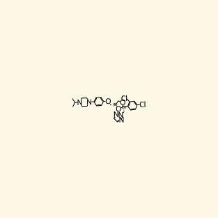 CC(C)N1CCN(c2ccc(OC[C@@H]3CO[C@@](Cn4nccn4)(c4ccc(Cl)cc4Cl)O3)cc2)CC1